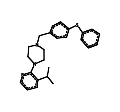 CC(C)c1cccnc1N1CCN(Cc2ccc(Sc3ccccc3)cc2)CC1